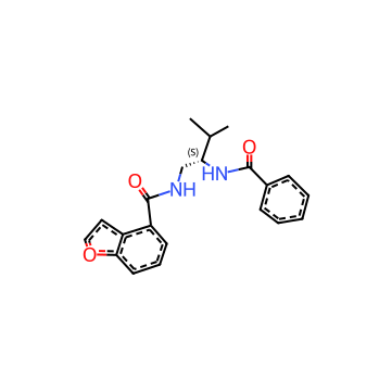 CC(C)[C@@H](CNC(=O)c1cccc2occc12)NC(=O)c1ccccc1